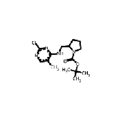 Cc1cnc(Cl)nc1NCC1CCCN1C(=O)OC(C)(C)C